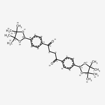 CC1(C)OB(c2ccc(C(=O)CCC(=O)c3ccc(B4OC(C)(C)C(C)(C)O4)cc3)cc2)OC1(C)C